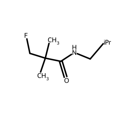 CC(C)CNC(=O)C(C)(C)CF